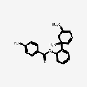 Nc1ccc(C(=O)Oc2ccccc2C2(N)C=CC=C(C(=O)O)C2)cc1